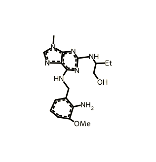 CCC(CO)Nc1nc(NCc2cccc(OC)c2N)c2ncn(C)c2n1